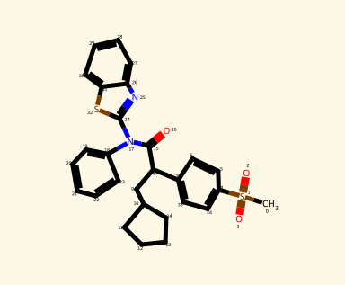 CS(=O)(=O)c1ccc(C(CC2CCCC2)C(=O)N(c2ccccc2)c2nc3ccccc3s2)cc1